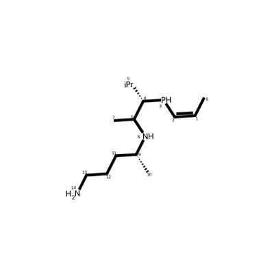 C/C=C\P[C@@H](C(C)C)C(C)N[C@H](C)CCCN